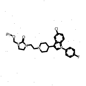 CC(C)OCN1CCN(CCN2CCC(c3cn(-c4ccc(F)cc4)c4ccc(Cl)cc34)CC2)C1=O